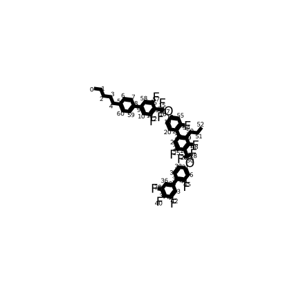 CCCCCc1ccc(-c2cc(F)c(C(F)(F)Oc3ccc(-c4cc(F)c(C(F)(F)Oc5ccc(-c6cc(F)c(F)c(F)c6)c(F)c5)c(F)c4CCC)c(F)c3)c(F)c2)cc1